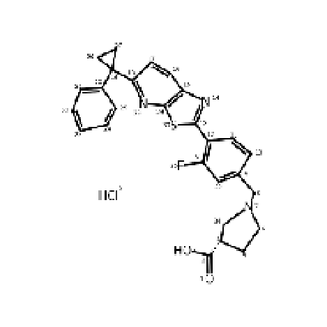 Cl.O=C(O)[C@H]1CCN(Cc2ccc(-c3nc4ccc(C5(c6ccccc6)CC5)nc4s3)c(F)c2)C1